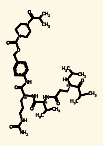 CC(C)N[C@@H](CCC(=O)N[C@H](C(=O)N[C@@H](CCCNC(N)=O)C(=O)Nc1ccc(COC(=O)N2CCN(C(=O)C(C)C)CC2)cc1)C(C)C)C(=O)C(C)C